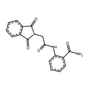 NC(=O)c1ccncc1NC(=O)CN1C(=O)c2ccccc2C1=O